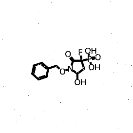 O=C1N(OCc2ccccc2)C(O)CC1(F)P(=O)(O)O